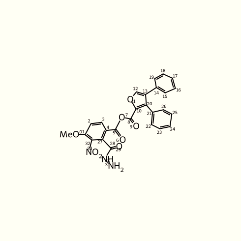 COc1ccc(C(=O)OC(=O)c2occ(-c3ccccc3)c2-c2ccccc2)c(C(=O)NN)c1[N+](=O)[O-]